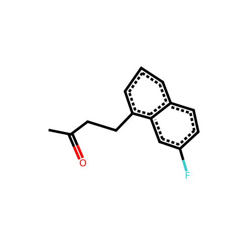 CC(=O)CCc1cccc2ccc(F)cc12